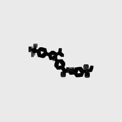 CCS(=O)(=O)c1ccc(CNC(=O)c2ccc(N3CC(c4ccc(C(F)(F)F)cc4)C[C@H]3C(C)C)cc2)cc1